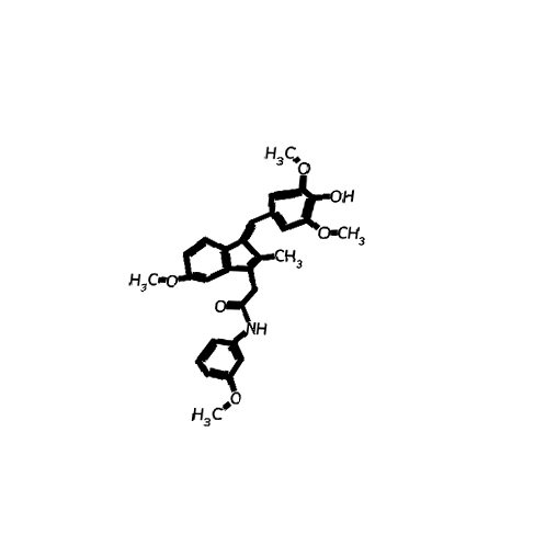 COc1cccc(NC(=O)CC2=C(C)C(=Cc3cc(OC)c(O)c(OC)c3)c3ccc(OC)cc32)c1